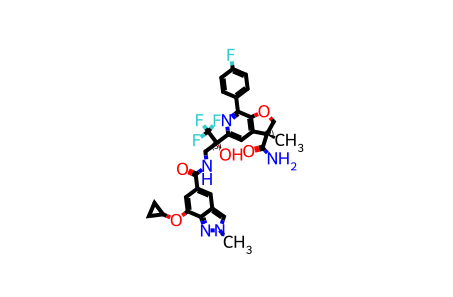 Cn1cc2cc(C(=O)NC[C@](O)(c3cc4c(c(-c5ccc(F)cc5)n3)OC[C@]4(C)C(N)=O)C(F)(F)F)cc(OC3CC3)c2n1